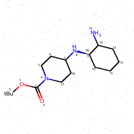 CC(C)(C)OC(=O)N1CCC(N[C@@H]2CCCCC2N)CC1